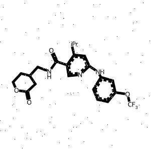 CC(C)c1cc(Nc2cccc(OC(F)(F)F)c2)ncc1C(=O)NCC1CCOC(=O)C1